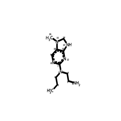 CCCN(CCN)c1ncc2c(n1)NCN2C